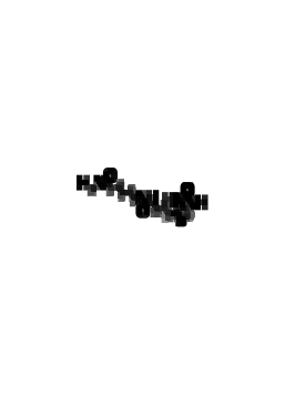 NC(=O)CCCCCNC(=O)CCCCC1SCC2NC(=O)NC21